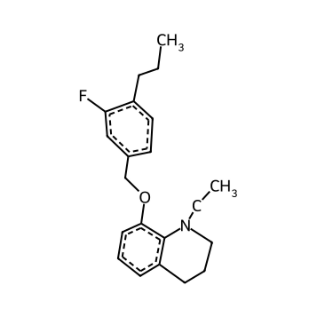 CCCc1ccc(COc2cccc3c2N(CC)CCC3)cc1F